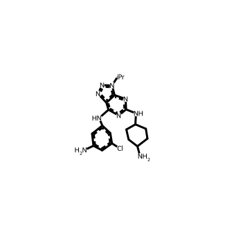 CC(C)n1nnc2c(Nc3cc(N)cc(Cl)c3)nc(NC3CCC(N)CC3)nc21